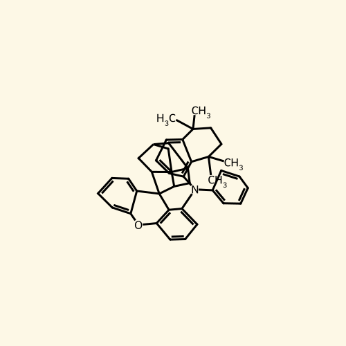 CC1(C)CCC(C)(C)c2c(N(c3ccccc3)c3cccc4c3C3(c5ccccc5O4)C4CC5CC6CC3C64C5)cccc21